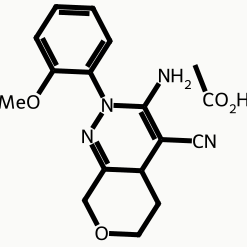 CC(=O)O.COc1ccccc1N1N=C2COCCC2C(C#N)=C1N